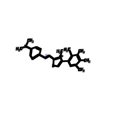 Cc1cc(-c2csc(/C=C/c3ccc(N(C)C)cc3)[n+]2C)c(C)c(C)c1C